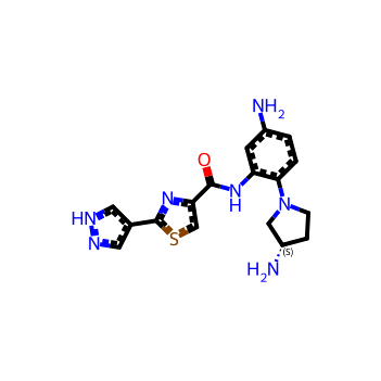 Nc1ccc(N2CC[C@H](N)C2)c(NC(=O)c2csc(-c3cn[nH]c3)n2)c1